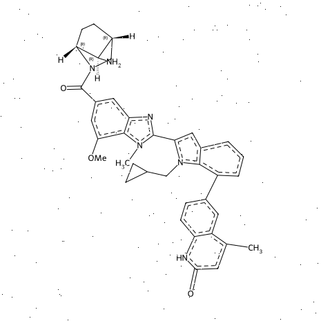 COc1cc(C(=O)N2C[C@H]3CC[C@@H]2[C@@H]3N)cc2nc(-c3cc4cccc(-c5ccc6[nH]c(=O)cc(C)c6c5)c4n3CC3CC3)n(C)c12